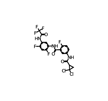 O=C(Nc1cc(NC(=O)C(F)(F)F)c(F)cc1F)c1cc(NC(=O)C2CC2(Cl)Cl)ccc1F